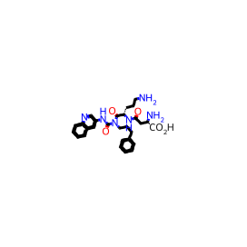 NCCC[C@H](NC(=O)C[C@H](N)C(=O)O)C(=O)N(CCCc1ccccc1)C(=O)Nc1cnc2ccccc2c1